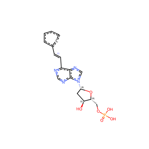 O=P(O)(O)OC[C@H]1O[C@@H](n2cnc3c(/C=C/c4ccccc4)ncnc32)C[C@@H]1O